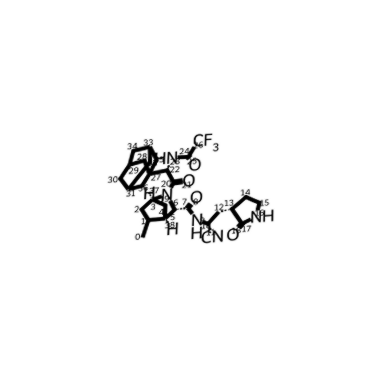 CC1C[C@@H]2C[C@H]1[C@@H](C(=O)N[C@H](C#N)C[C@@H]1CCNC1=O)N2C(=O)[C@@H](NC(=O)C(F)(F)F)C12CC3CC(CC(C3)C1)C2